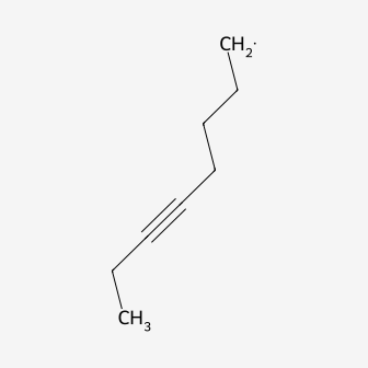 [CH2]CCCC#CCC